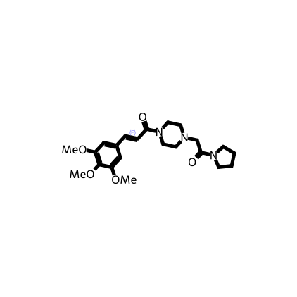 COc1cc(/C=C/C(=O)N2CCN(CC(=O)N3CCCC3)CC2)cc(OC)c1OC